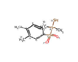 Cc1ccc(S(=O)(=O)S(C)(C)S)cc1C